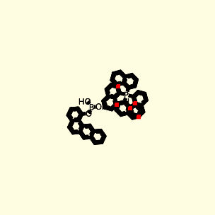 OB(O)Oc1cccc2ccc3cc4ccccc4cc3c12.c1ccc2c([PH](c3cccc4ccccc34)(c3cccc4ccccc34)c3cccc4ccccc34)cccc2c1